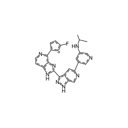 CC(C)Nc1cncc(-c2cc3c(-c4nc5c(-c6ccc(F)s6)nccc5[nH]4)n[nH]c3cn2)c1